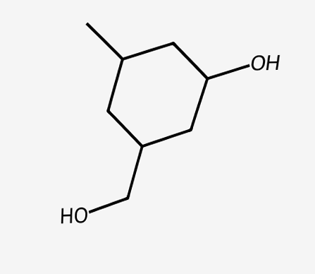 CC1CC(O)CC(CO)C1